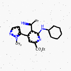 CCOC(=O)c1cc(-c2ccnn2C)c(C(=N)C(C)C)c(NC2CCCCC2)n1